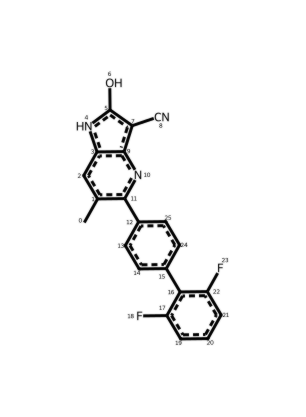 Cc1cc2[nH]c(O)c(C#N)c2nc1-c1ccc(-c2c(F)cccc2F)cc1